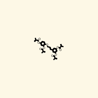 C=C(C)C(=O)Oc1cc(/C=C/COc2ccc(OC(=O)C(=C)C)cc2OC(=O)C(=C)C)cc(OC(=O)C(=C)C)c1